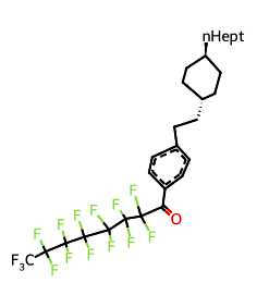 CCCCCCC[C@H]1CC[C@H](CCc2ccc(C(=O)C(F)(F)C(F)(F)C(F)(F)C(F)(F)C(F)(F)C(F)(F)C(F)(F)F)cc2)CC1